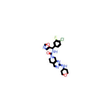 O=C(N[C@H](c1ccc(Cl)c(F)c1)c1cnco1)N1CCc2cnc(NC3CCOCC3)nc2C1